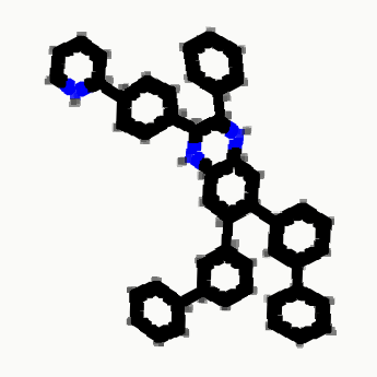 c1ccc(-c2cccc(-c3cc4nc(-c5ccccc5)c(-c5ccc(-c6ccccn6)cc5)nc4cc3-c3cccc(-c4ccccc4)c3)c2)cc1